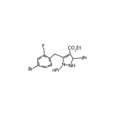 CCCN1NC(C(C)C)C(C(=O)OCC)=C1Cc1ccc(Br)cc1F